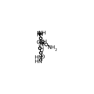 Cc1cc(C(=O)N[C@@H]2CCNC2)ccc1-c1ccc(C[C@H](NC(=O)C2CCC(CN)CC2)C(=O)Nc2ccc(-c3nn[nH]n3)cc2)cc1